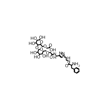 NC(Cc1ccccc1)C(=O)NCCn1cc(CNC(=O)COCC2OC(OC3C(COCC(=O)O)OC(O)C(O)C3O)C(O)C(O)C2O)nn1